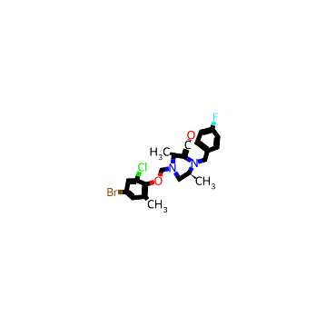 Cc1cc(Br)cc(Cl)c1OCN1C[C@@H](C)N(Cc2ccc(F)cc2)C(=C=O)[C@@H]1C